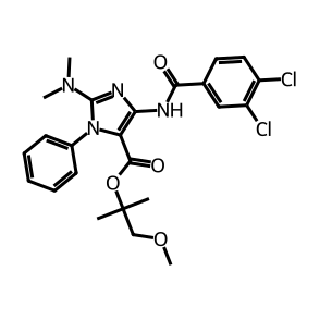 COCC(C)(C)OC(=O)c1c(NC(=O)c2ccc(Cl)c(Cl)c2)nc(N(C)C)n1-c1ccccc1